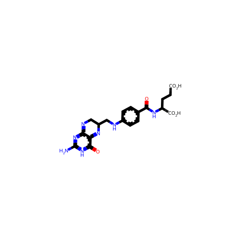 Nc1nc2c(c(=O)[nH]1)=NC(CNc1ccc(C(=O)NC(CCC(=O)O)C(=O)O)cc1)CN=2